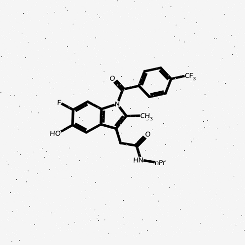 CCCNC(=O)Cc1c(C)n(C(=O)c2ccc(C(F)(F)F)cc2)c2cc(F)c(O)cc12